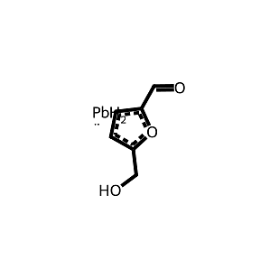 O=Cc1ccc(CO)o1.[PbH2]